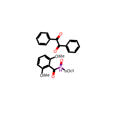 CCCCCCCC[PH](=O)C(=O)c1c(OC)cccc1OC.O=C(C(=O)c1ccccc1)c1ccccc1